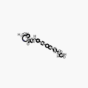 C[C@@]1(O)CC/C=C\Cn2c(=O)c3cnc(Nc4ccc(N5CCN(C6CCC7(CC6)CCN(c6cnc(C(=O)NC8CCC(=O)NC8=O)cn6)CC7)CC5)cc4)nc3n2-c2cccc1n2